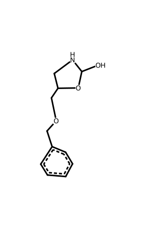 OC1NCC(COCc2ccccc2)O1